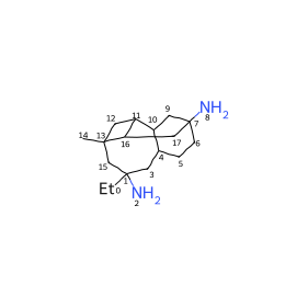 CCC1(N)CC2CCC3(N)CC2C2CC(C)(C1)C2C3